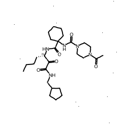 CCCC[C@H](NC(=O)C1(NC(=O)N2CCN(C(C)=O)CC2)CCCCC1)C(=O)C(=O)NCC1CCCC1